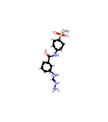 CC(=O)OS(=O)(=O)c1ccc(NC(=O)c2cccc(NC=NN)c2)cc1